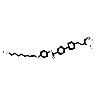 CCCCCCCC=COc1ccc(OC(=O)c2ccc(-c3ccc(CCC(C)CC)cc3)cc2)cc1